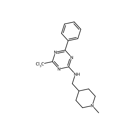 CN1CCC(CNc2nc(-c3ccccc3)nc(C(Cl)(Cl)Cl)n2)CC1